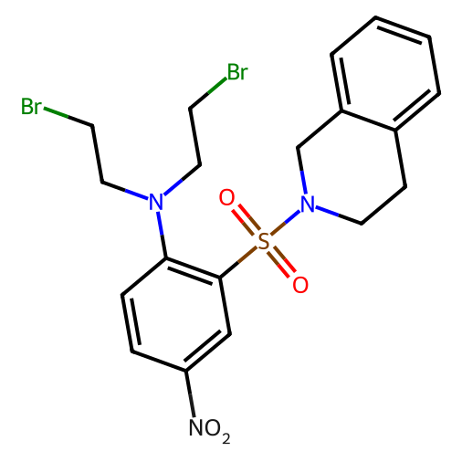 O=[N+]([O-])c1ccc(N(CCBr)CCBr)c(S(=O)(=O)N2CCc3ccccc3C2)c1